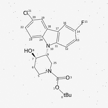 CC(C)(C)OC(=O)N1CC[C@@H](O)[C@H](n2c3ccc(F)cc3c3cc(Cl)ccc32)C1